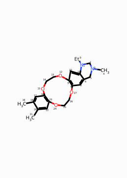 CCN1CN(C)Cc2cc3c(cc21)OCCOc1cc(C)c(C)cc1OCCO3